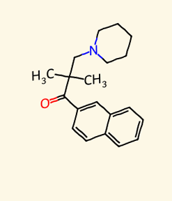 CC(C)(CN1CCCCC1)C(=O)c1ccc2ccccc2c1